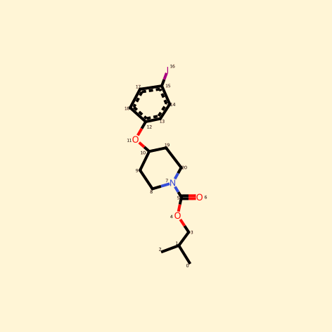 CC(C)COC(=O)N1CCC(Oc2ccc(I)cc2)CC1